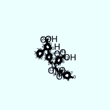 Cc1ccc(S(=O)(=O)N(C)CC(=O)N(Cc2ccc(-c3ccc(C(=O)O)cc3-c3ccccc3)cc2)c2ccc(C(=O)O)c(O)c2)cc1